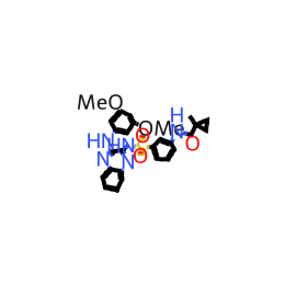 COc1cc(Nc2nc3ccccc3nc2NS(=O)(=O)c2cccc(NC(=O)C3(C)CC3)c2)cc(OC)c1